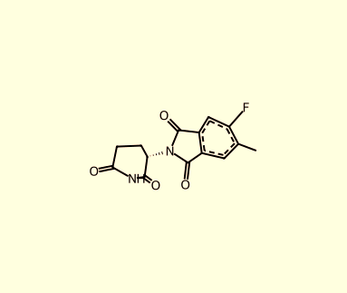 Cc1cc2c(cc1F)C(=O)N([C@H]1CCC(=O)NC1=O)C2=O